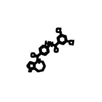 O=C(Nc1ccc(C(=O)N2CCCCc3sccc32)cc1)c1cc(Cl)cc(Cl)c1